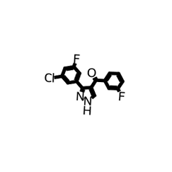 O=C(c1cccc(F)c1)c1c[nH]nc1-c1cc(F)cc(Cl)c1